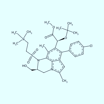 COC(=O)[C@@H](OC(C)(C)C)c1c(C)c2c3c(cc(C)n3C[C@@H](CO)N2S(=O)(=O)CC[Si](C)(C)C)c1-c1ccc(Cl)cc1